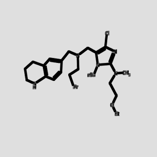 CCCCn1c(N(C)CCOCC)nc(Cl)c1CN(CCC(C)C)Cc1ccc2c(c1)CCCN2